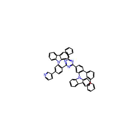 c1ccc(-c2cccc(-c3ccc(-c4nc(-c5ccccc5)nc(-c5ccc(-c6cccnc6)cc5-n5c6ccccc6c6ccccc65)n4)cc3-n3c4ccccc4c4ccccc43)c2)cc1